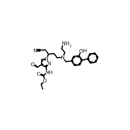 CCOC(=O)Nc1nn(C(CC#N)CCN(CCN)Cc2ccc(-c3ccccc3)c(O)c2)cc1C=O